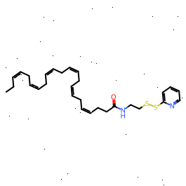 CC/C=C\C/C=C\C/C=C\C/C=C\C/C=C\C/C=C\CCC(=O)NCCSSc1ccccn1